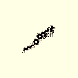 C=C(C)C(=O)OCCC(=Cc1ccc([C@H]2CC[C@H](CCCCCCC)CC2)cc1)C(=O)O